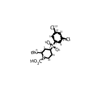 CC(C)(C)C1CC(S(=O)(=O)c2cc(Cl)cc(Cl)c2)CCN1C(=O)O